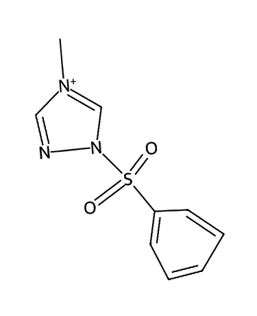 C[n+]1cnn(S(=O)(=O)c2ccccc2)c1